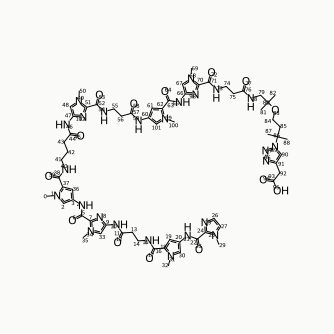 Cn1cc(NC(=O)c2nc(NC(=O)CCNC(=O)c3cc(NC(=O)c4nccn4C)cn3C)cn2C)cc1C(=O)NCCCC(=O)Nc1cn(C)c(C(=O)NCCC(=O)Nc2cc(C(=O)Nc3cn(C)c(C(=O)NCCC(=O)NCC(C)(C)OCCC(C)(C)n4cc(CC(=O)O)nn4)n3)n(C)c2)n1